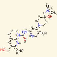 CN(C)CC1(O)CCN(c2cc(NC(=O)N3CCCc4cc(CO)c(C=O)nc43)ncc2C#N)CC1